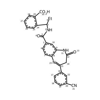 CCC(NC(=O)c1ccc2c(c1)NC(=O)CC(c1cccc(C#N)c1)=N2)c1ccccc1C(=O)O